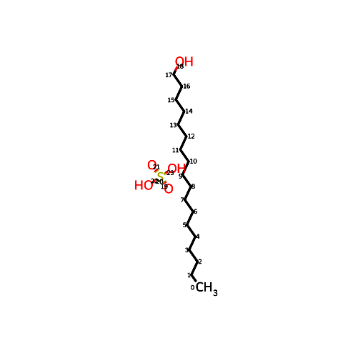 CCCCCCCCCCCCCCCCCCO.O=S(=O)(O)O